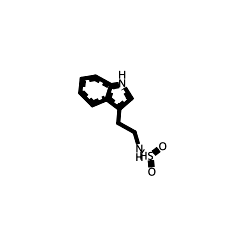 O=[SH](=O)NCCc1c[nH]c2ccccc12